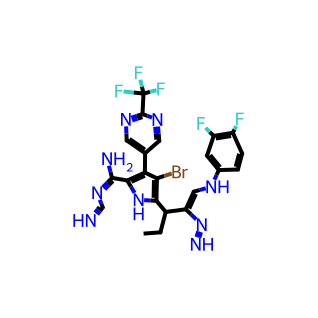 CCC(/C(=C/Nc1ccc(F)c(F)c1)N=N)c1[nH]c(/C(N)=N\C=N)c(-c2cnc(C(F)(F)F)nc2)c1Br